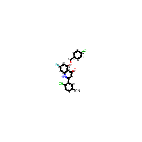 N#Cc1ccc(Cl)c(-c2cc(=O)c3c(OCc4ccc(Cl)cc4)cc(F)cc3[nH]2)c1